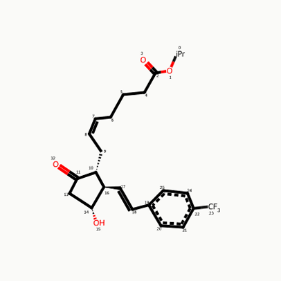 CC(C)OC(=O)CCC/C=C\C[C@H]1C(=O)C[C@@H](O)[C@@H]1/C=C/c1ccc(C(F)(F)F)cc1